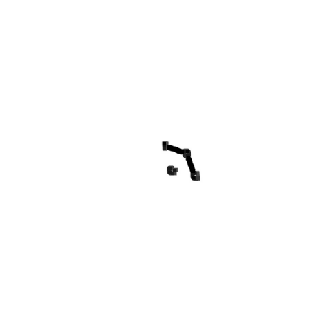 FOCl.[Cr]